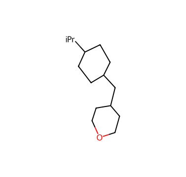 CC(C)C1CCC(CC2CCOCC2)CC1